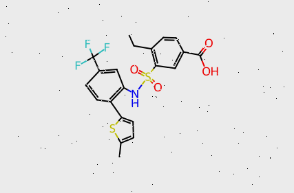 CCc1ccc(C(=O)O)cc1S(=O)(=O)Nc1cc(C(F)(F)F)ccc1-c1ccc(C)s1